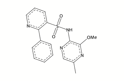 COc1nc(C)cnc1NS(=O)(=O)c1cccnc1-c1ccccc1